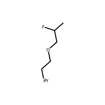 CC(C)CCOCC(C)F